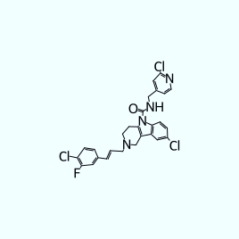 O=C(NCc1ccnc(Cl)c1)n1c2c(c3cc(Cl)ccc31)CN(CC=Cc1ccc(Cl)c(F)c1)CC2